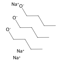 CCCC[O-].CCCC[O-].CCCC[O-].[Na+].[Na+].[Na+]